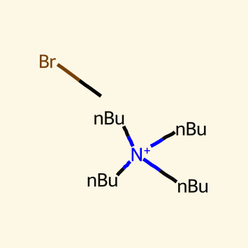 CBr.CCCC[N+](CCCC)(CCCC)CCCC